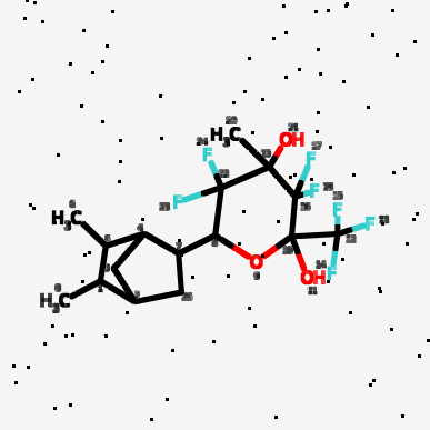 CC1C2CC(C1C)C(C1OC(O)(C(F)(F)F)C(F)(F)C(C)(O)C1(F)F)C2